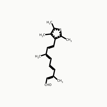 CC(C=CC=C(C)C=Cc1c(C)sc(C)c1C)=CC=O